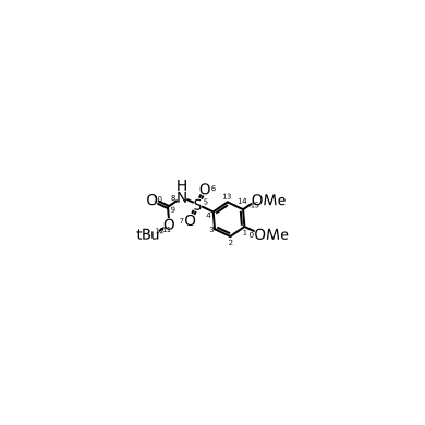 COc1ccc(S(=O)(=O)NC(=O)OC(C)(C)C)cc1OC